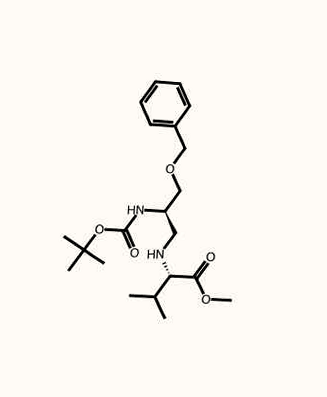 COC(=O)[C@@H](NC[C@H](COCc1ccccc1)NC(=O)OC(C)(C)C)C(C)C